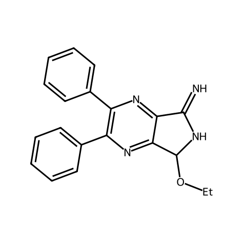 CCOC1NC(=N)c2nc(-c3ccccc3)c(-c3ccccc3)nc21